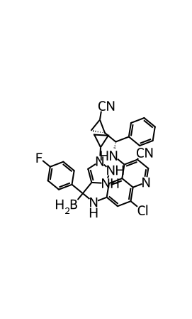 BC(Nc1cc(Cl)c2ncc(C#N)c(N[C@@H](c3ccccc3)[C@@H]3CC3C#N)c2c1)(C1=CN(C2CC2)NN1)c1ccc(F)cc1